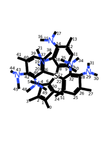 CC1=C(C)C(C)C([Si](c2c(C)cc(C)c(N(C)C)c2N(C)C)(c2c(C)cc(C)c(N(C)C)c2N(C)C)c2c(C)cc(C)c(N(C)C)c2N(C)C)=C1C